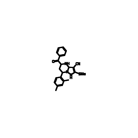 CSC1=C(C#N)C2NC(C(=O)c3ccccc3)CC(c3ccc(C)cc3C)N2N1